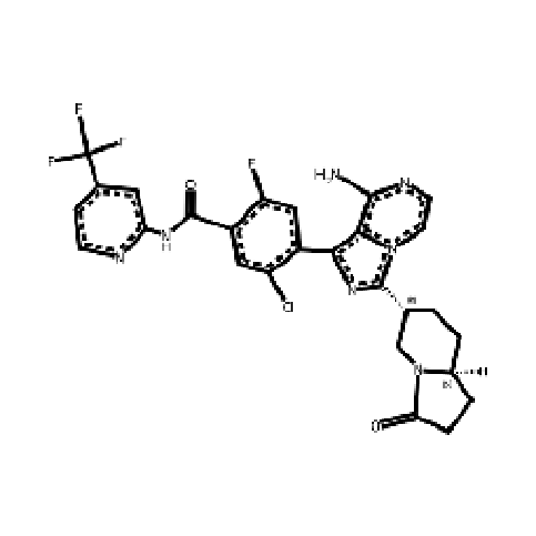 Nc1nccn2c([C@@H]3CC[C@H]4CCC(=O)N4C3)nc(-c3cc(F)c(C(=O)Nc4cc(C(F)(F)F)ccn4)cc3Cl)c12